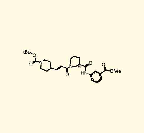 COC(=O)c1cccc(NC(=O)[C@@H]2CCCN(C(=O)C=CC3CCN(C(=O)OC(C)(C)C)CC3)C2)c1